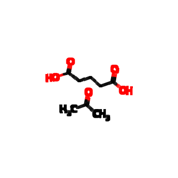 CC(C)=O.O=C(O)CCCC(=O)O